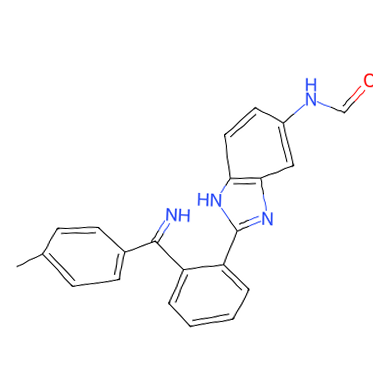 Cc1ccc(C(=N)c2ccccc2-c2nc3cc(NC=O)ccc3[nH]2)cc1